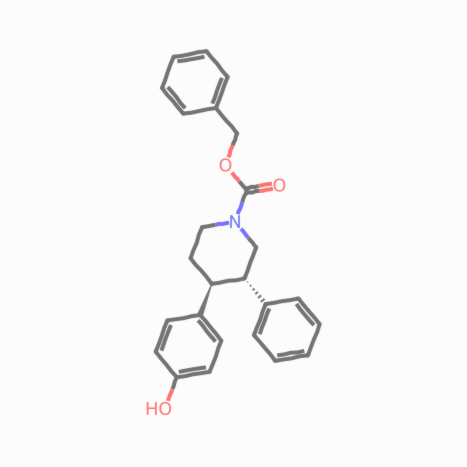 O=C(OCc1ccccc1)N1CC[C@H](c2ccc(O)cc2)[C@@H](c2ccccc2)C1